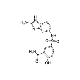 NC(=O)c1cc(S(=O)(=O)Nc2ccc3[nH]c(N)nc3c2)ccc1O